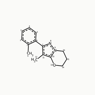 Cc1ccccc1-c1nn2c(c1C)OCCC2